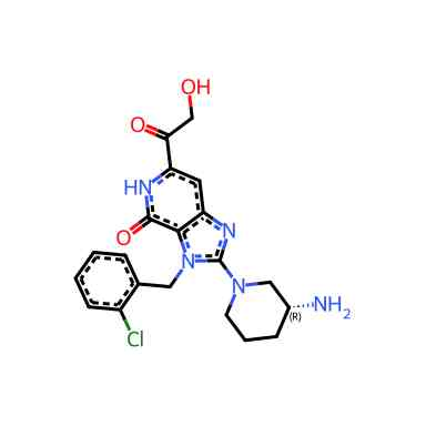 N[C@@H]1CCCN(c2nc3cc(C(=O)CO)[nH]c(=O)c3n2Cc2ccccc2Cl)C1